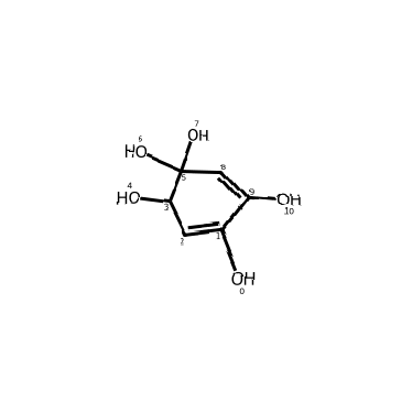 OC1=CC(O)C(O)(O)C=C1O